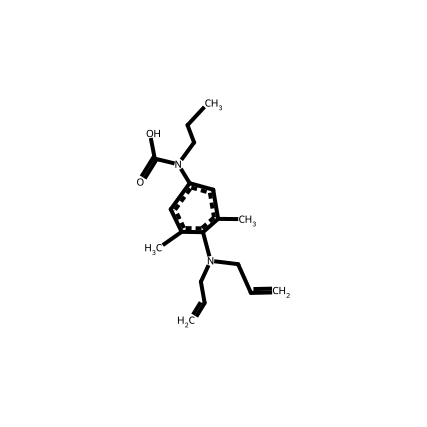 C=CCN(CC=C)c1c(C)cc(N(CCC)C(=O)O)cc1C